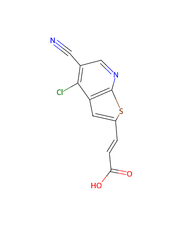 N#Cc1cnc2sc(C=CC(=O)O)cc2c1Cl